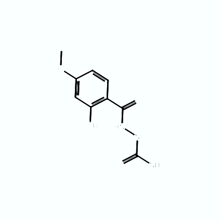 COc1ccc(C(=O)NNC(N)=S)c(O)c1